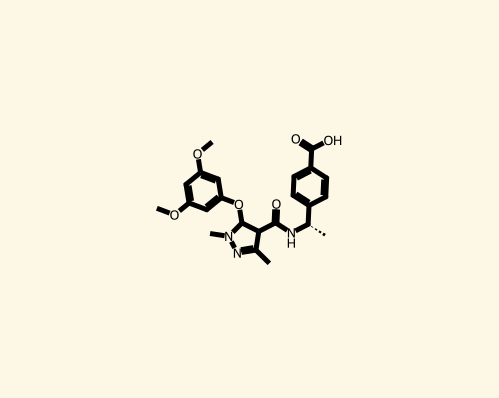 COc1cc(OC)cc(OC2C(C(=O)N[C@@H](C)c3ccc(C(=O)O)cc3)C(C)=NN2C)c1